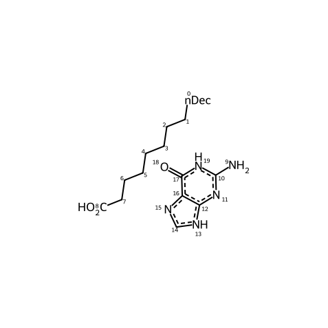 CCCCCCCCCCCCCCCCCC(=O)O.Nc1nc2[nH]cnc2c(=O)[nH]1